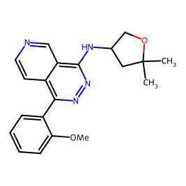 COc1ccccc1-c1nnc(NC2COC(C)(C)C2)c2cnccc12